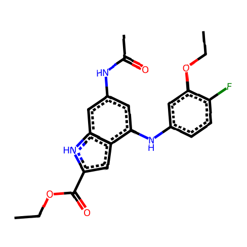 CCOC(=O)c1cc2c(Nc3ccc(F)c(OCC)c3)cc(NC(C)=O)cc2[nH]1